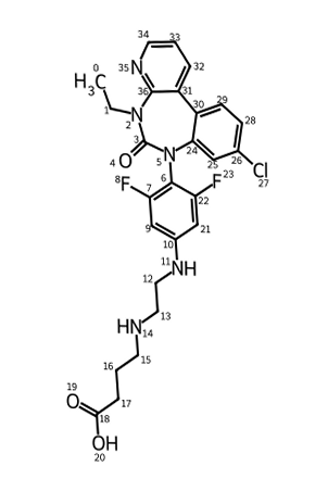 CCN1C(=O)N(c2c(F)cc(NCCNCCCC(=O)O)cc2F)c2cc(Cl)ccc2-c2cccnc21